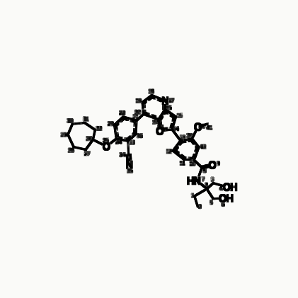 CCC(CO)(CO)NC(=O)c1ccc(-c2cc3nccc(-c4ccc(OC5CCCCCC5)c(C#N)c4)c3o2)c(OC)c1